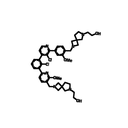 COc1cc(-c2nccc(-c3cccc(-c4ccc(CN5CC6(CCN(CCO)C6)C5)c(OC)n4)c3Cl)c2Cl)ccc1CN1CC2(CCN(CCO)C2)C1